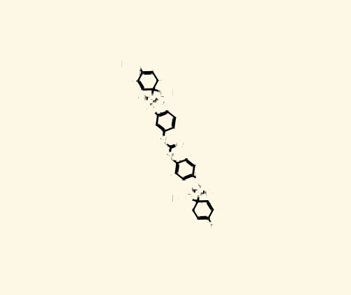 CC1=CCC(C)(S(=O)(=O)Oc2ccc(NC(=O)Nc3cccc(OS(=O)(=O)C4(C)C=CC(C)=CC4)c3)cc2)C=C1